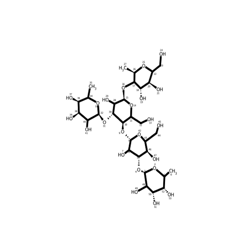 CC1O[C@@H](O[C@@H]2C(O)[C@H](O[C@@H]3C(CO)O[C@H](OC4[C@@H](O)[C@H](O)C(CO)O[C@@H]4C)C(O)[C@H]3O[C@@H]3OC(C)[C@H](O)[C@H](O)C3O)OC(CO)[C@H]2O)C(O)[C@@H](O)[C@H]1O